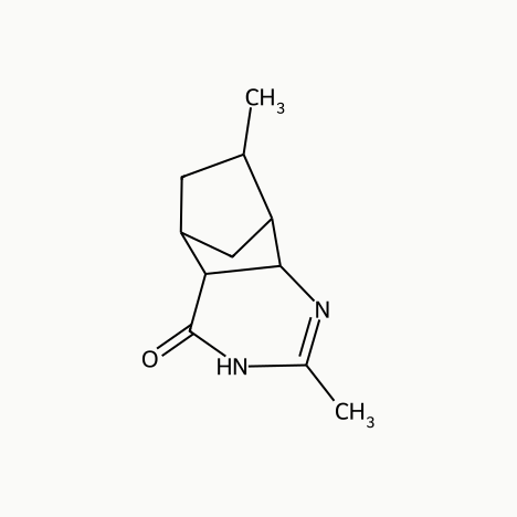 CC1=NC2C3CC(CC3C)C2C(=O)N1